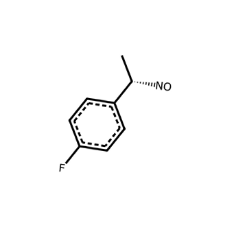 C[C@H](N=O)c1ccc(F)cc1